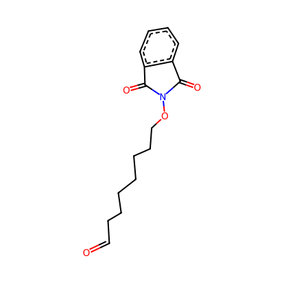 O=CCCCCCCCON1C(=O)c2ccccc2C1=O